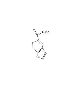 COC(=O)C1=Cc2ccsc2CC1